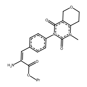 CC(C)OC(=O)/C(N)=C\c1ccc(-n2c(=O)c3c(n(C)c2=O)CCOC3)cc1